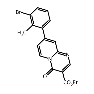 CCOC(=O)c1cnc2cc(-c3cccc(Br)c3C)ccn2c1=O